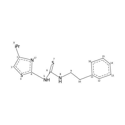 CC(C)c1csc(NC(=S)NCCc2ccccc2)n1